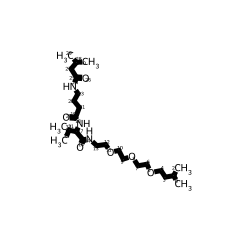 CC(C)CCOCCOCCOCCNC(=O)C(NC(=O)CCCNC(=O)CC(C)C)C(C)C